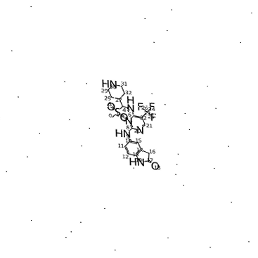 CS(=O)(=O)C(Nc1nc(Nc2ccc3c(c2)CC(=O)N3)ncc1C(F)(F)F)C1CCNCC1